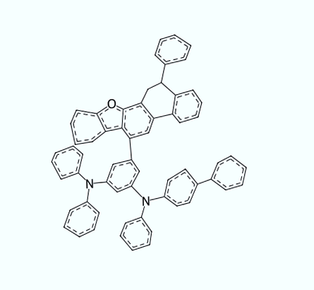 c1ccc(-c2ccc(N(c3ccccc3)c3cc(-c4cc5c(c6oc7ccccc7c46)CC(c4ccccc4)c4ccccc4-5)cc(N(c4ccccc4)c4ccccc4)c3)cc2)cc1